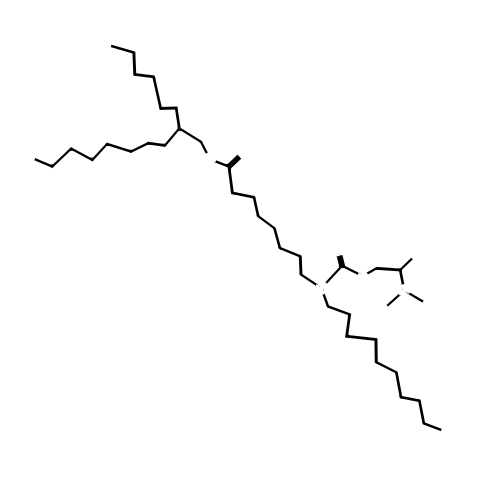 CCCCCCCCCCN(CCCCCCCC(=O)OCC(CCCCCC)CCCCCCCC)C(=O)SCC(C)N(C)C